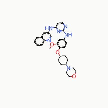 COc1cc(Nc2nccc(Nc3cnc4ccccc4c3)n2)ccc1OC1CCC(N2CCOCC2)CC1